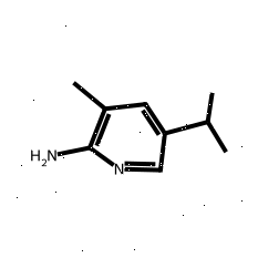 Cc1cc(C(C)C)cnc1N